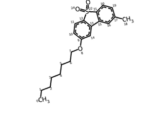 CCCCCCCCOc1ccc2c(c1)-c1cc(C)ccc1S2(=O)=O